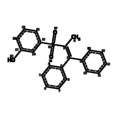 CC(=C(c1ccccc1)c1ccccc1)S(=O)(=O)c1cccc(O)c1